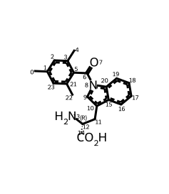 Cc1cc(C)c(C(=O)n2cc(C[C@@H](N)C(=O)O)c3ccccc32)c(C)c1